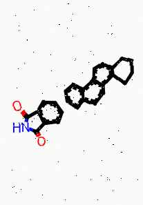 O=C1NC(=O)c2ccccc21.c1ccc2c(c1)ccc1c3c(ccc12)CCCC3